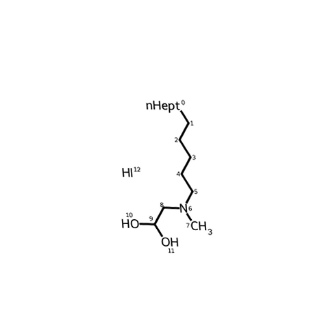 CCCCCCCCCCCCN(C)CC(O)O.I